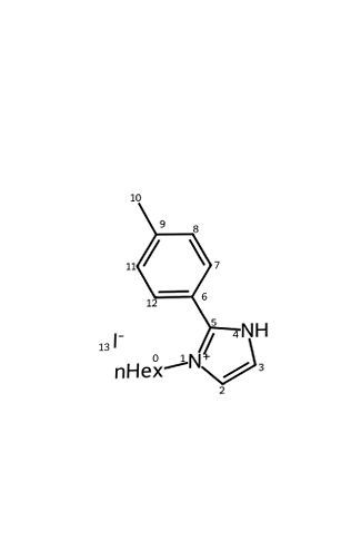 CCCCCC[n+]1cc[nH]c1-c1ccc(C)cc1.[I-]